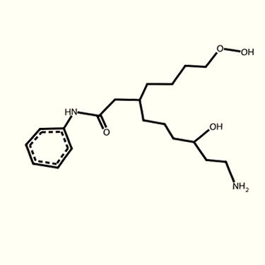 NCCC(O)CCCC(CCCCOO)CC(=O)Nc1ccccc1